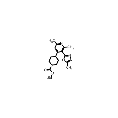 Cc1nc(C)c(-c2nnc(C)o2)c(C2CCN(C(=O)OC(C)(C)C)CC2)n1